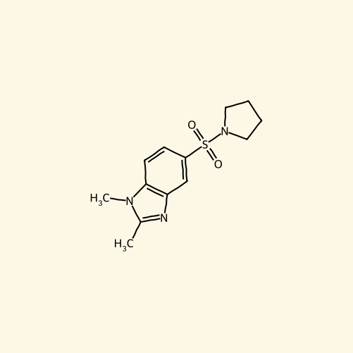 Cc1nc2cc(S(=O)(=O)N3CCCC3)ccc2n1C